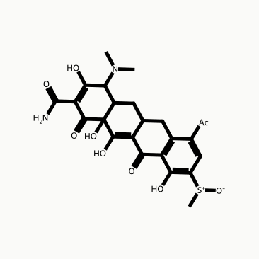 CC(=O)c1cc([S+](C)[O-])c(O)c2c1CC1CC3C(N(C)C)C(O)=C(C(N)=O)C(=O)C3(O)C(O)=C1C2=O